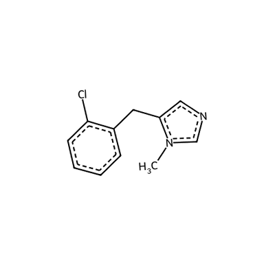 Cn1cncc1Cc1ccccc1Cl